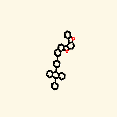 c1ccc(-c2c3ccccc3c(-c3ccc(-c4ccc5ccc6c(oc7ccc8oc9ccccc9c8c76)c5c4)cc3)c3ccccc23)cc1